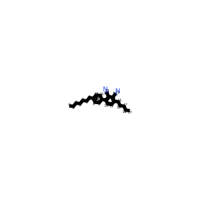 CCCCCCCC12CCC(c3ccc(CCCCC)c(C#N)c3C#N)(CC1)CC2